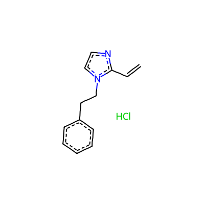 C=Cc1nccn1CCc1ccccc1.Cl